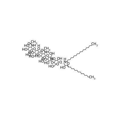 CCCCCCCCCCCCC/C=C/[C@@H](O)[C@H](CO[C@@H]1OC(CO)[C@@H](O[C@@H]2OC(CO)[C@H](O[C@@H]3OC(CO)[C@H](O)[C@H](O[C@@H]4OC(CO)[C@H](O)[C@H](O[C@@H]5OC(CO)[C@@H](O)[C@H](O)C5NC(C)=O)C4O)C3NC(C)=O)[C@H](O)C2O)[C@H](O)C1O)NC(=O)CCCCCCCCCCCCCCCCC